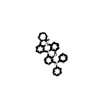 CC12CCCCC1c1cccc3c1N2c1cccc2c1B3c1cccc(N(c3ccccc3)c3ccccc3)c1O2